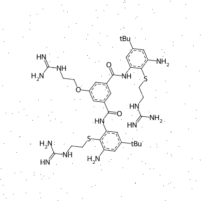 CC(C)(C)c1cc(N)c(SCCNC(=N)N)c(NC(=O)c2cc(OCCNC(=N)N)cc(C(=O)Nc3cc(C(C)(C)C)cc(N)c3SCCNC(=N)N)c2)c1